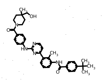 Cc1c(NC(=O)c2ccc(C(C)(C)C)cc2)cccc1-c1ccnc(Nc2ccc(C(=O)N3CCC(C)(CO)CC3)cc2)n1